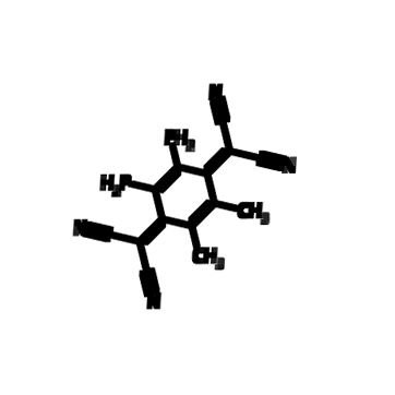 Cc1c(C)c(=C(C#N)C#N)c(P)c(P)c1=C(C#N)C#N